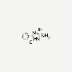 Nc1nc(Cl)c(-c2ccccc2)nc1Br